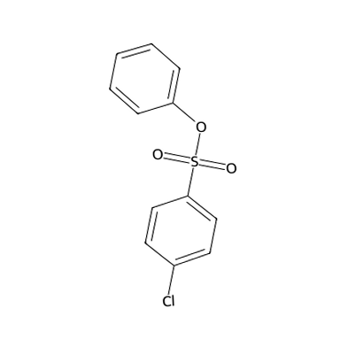 O=S(=O)(Oc1ccccc1)c1ccc(Cl)cc1